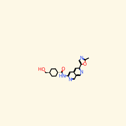 Cc1ncc(-c2cc3cc(NC(=O)[C@H]4CC[C@H](CO)CC4)ncc3cn2)o1